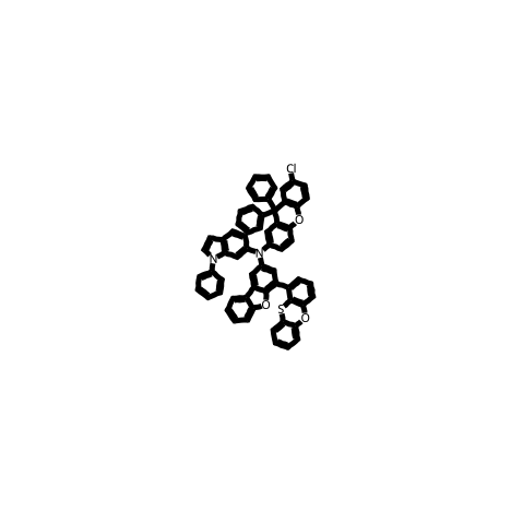 Clc1ccc2c(c1)C(c1ccccc1)(c1ccccc1)c1cc(N(c3cc(-c4cccc5c4Sc4ccccc4O5)c4oc5ccccc5c4c3)c3ccc4ccn(-c5ccccc5)c4c3)ccc1O2